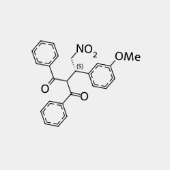 COc1cccc([C@@H](C[N+](=O)[O-])C(C(=O)c2ccccc2)C(=O)c2ccccc2)c1